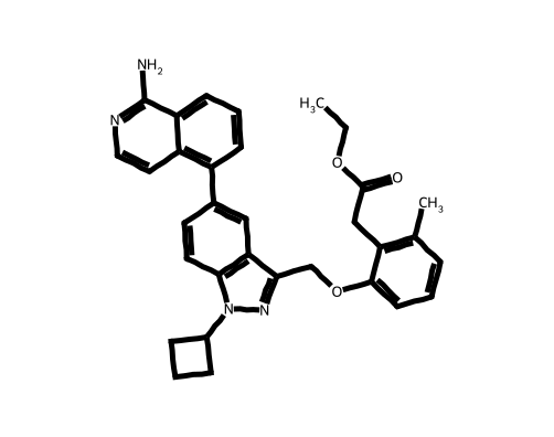 CCOC(=O)Cc1c(C)cccc1OCc1nn(C2CCC2)c2ccc(-c3cccc4c(N)nccc34)cc12